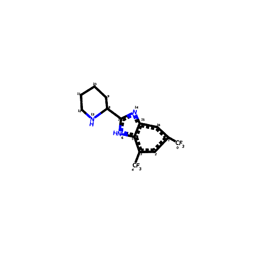 FC(F)(F)c1cc(C(F)(F)F)c2[nH]c(C3CCCCN3)nc2c1